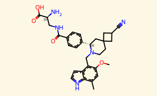 COc1cc(C)c2[nH]ccc2c1CN1CCC2(CC(C#N)C2)C[C@H]1c1ccc(C(=O)NC[C@H](N)C(=O)O)cc1